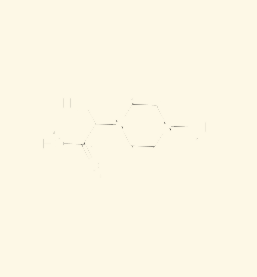 CC(C(=O)O)N1CCN(C)CC1